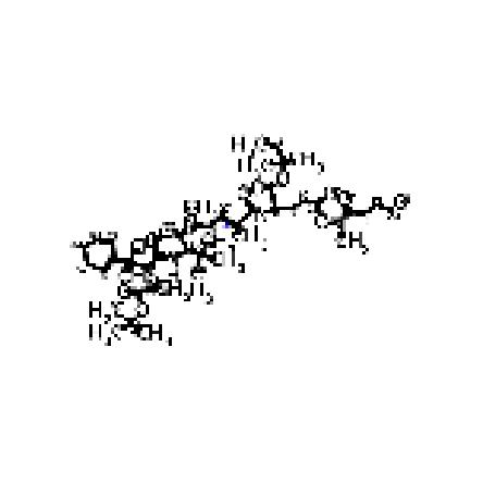 CCC(C)(C)OC(=O)C(CCC(=O)ON(C)C(=O)CCC=O)NC(=O)/C(C)=C/CN(C)C(=O)C(NC(=O)[C@@H](N(C)C(=O)OC(C)(C)C)C(C)(C)C1=CCCC=C1)C(C)(C)C